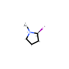 CC(=O)N1CCC[C@@H]1I